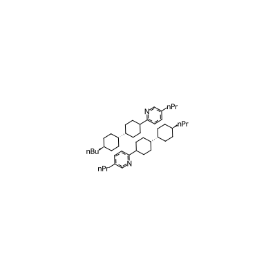 CCCC[C@H]1CC[C@H](C2CCC(c3ccc(CCC)cn3)CC2)CC1.CCCc1ccc(C2CCC([C@H]3CC[C@H](CCC)CC3)CC2)nc1